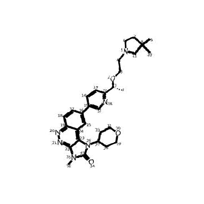 C[C@@H](OCCN1CCC(C)(C)C1)c1ccc(-c2ccc3nnc4c(c3c2)n(C2CCOCC2)c(=O)n4C)cn1